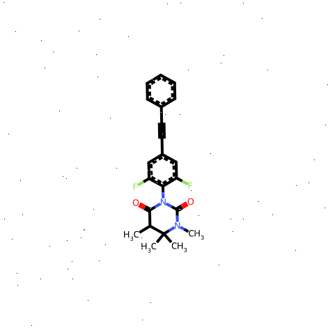 CC1C(=O)N(c2c(F)cc(C#Cc3ccccc3)cc2F)C(=O)N(C)C1(C)C